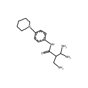 NCC(C(=O)Nc1ccc(N2CCCCC2)cc1)C(N)N